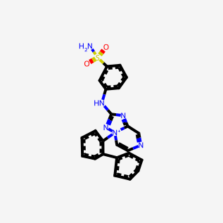 NS(=O)(=O)c1cccc(NC2=N[N+]3(c4ccccc4-c4ccccc4)C=CN=CC3=N2)c1